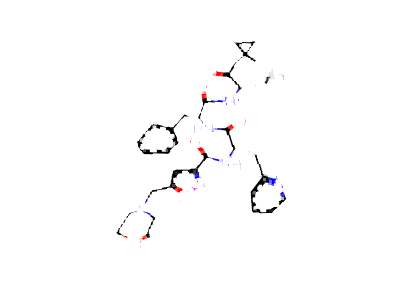 CC(C)C[C@H](NC(=O)[C@H](Cc1ccccc1)NC(=O)[C@H](Cc1ccccn1)NC(=O)c1cc(CN2CCOCC2)on1)C(=O)C1(C)CC1